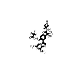 Cc1ccc(C(O)(C(=O)NC2(C)CNC2)C(F)(F)F)cc1-c1cnc2c(N)nc(C(F)(F)F)cn12.O=C(O)C(F)(F)F